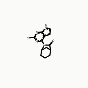 O=C1C2CCCC(C2)N1c1nc(Cl)nc2[nH]ccc12